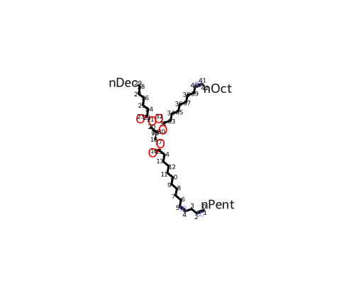 CCCCC/C=C\C/C=C\CCCCCCCCCC(=O)OC[C@@H](COC(=O)CCCCCCCCCCCCCCC)OC(=O)CCCCCCC/C=C\CCCCCCCC